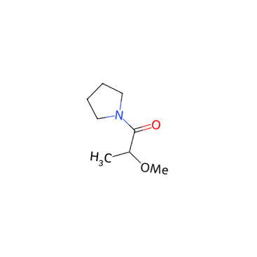 COC(C)C(=O)N1CCCC1